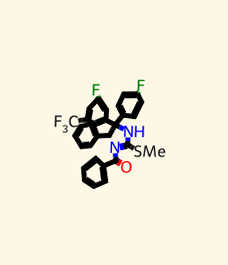 CS/C(=N\C(=O)c1ccccc1)NC(Cc1ccccc1)(c1ccc(F)cc1)c1cc(F)cc(C(F)(F)F)c1